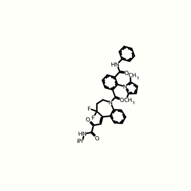 Cc1ccc(C)n1-c1c(C(=O)Nc2ccccc2)cccc1C(=O)N1CCC(F)(F)C(=CC(=O)C(=O)NC(C)C)c2ccccc21